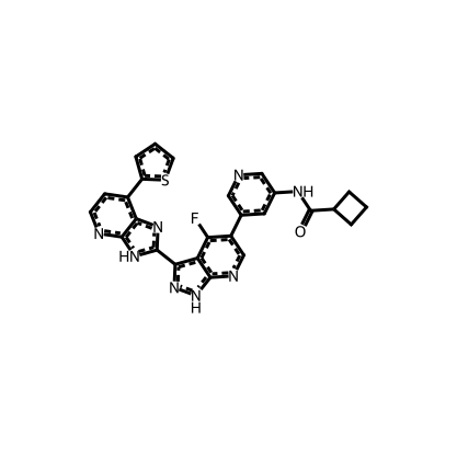 O=C(Nc1cncc(-c2cnc3[nH]nc(-c4nc5c(-c6cccs6)ccnc5[nH]4)c3c2F)c1)C1CCC1